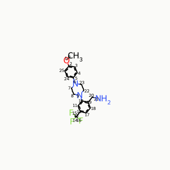 COc1ccc(N2CCN(c3cc(C(F)(F)F)ccc3CN)CC2)cc1